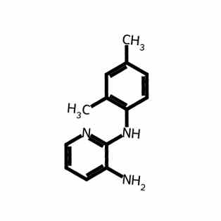 Cc1ccc(Nc2ncccc2N)c(C)c1